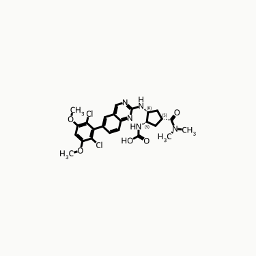 COc1cc(OC)c(Cl)c(-c2ccc3nc(N[C@@H]4C[C@H](C(=O)N(C)C)C[C@@H]4NC(=O)O)ncc3c2)c1Cl